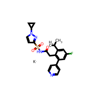 CC(C)c1cc(F)cc(-c2ccncc2)c1CC(=O)NS(=O)(=O)c1ccn(C2CC2)n1.[K]